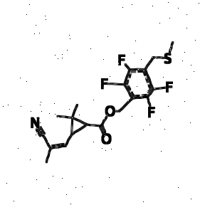 CSCc1c(F)c(F)c(COC(=O)C2C(C=C(C)C#N)C2(C)C)c(F)c1F